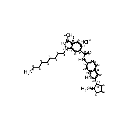 Cc1nn(CCCCCCCCN)c2cc(C(=O)Nc3cc4[nH]c([C@H]5CCCN5C)cc4cn3)ccc12.Cl